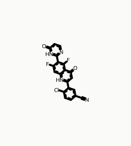 N#Cc1ccc(Cl)c(-c2cc(=O)c3c(F)c(-c4nccc(=O)[nH]4)c(F)cc3[nH]2)c1